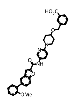 COc1ccccc1-c1ccc2oc(C(=O)Nc3ccc(N4CCC(OCc5cccc(C(=O)O)c5)CC4)nc3)cc2c1